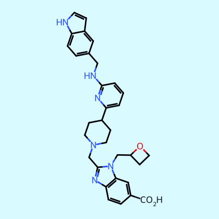 O=C(O)c1ccc2nc(CN3CCC(c4cccc(NCc5ccc6[nH]ccc6c5)n4)CC3)n(CC3CCO3)c2c1